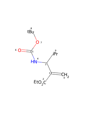 C=C(C(=O)OCC)C(NC(=O)OC(C)(C)C)C(C)C